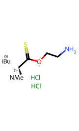 CC[C@H](C)[C@H](NC)C(=S)OCCN.Cl.Cl